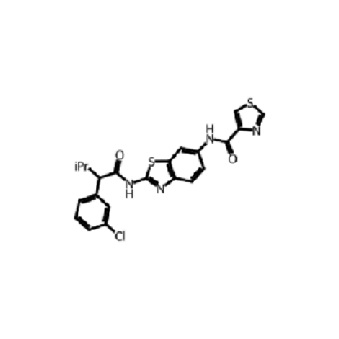 CC(C)C(C(=O)Nc1nc2ccc(NC(=O)c3cscn3)cc2s1)c1cccc(Cl)c1